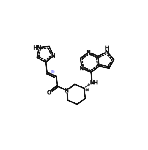 O=C(/C=C/c1c[nH]cn1)N1CCC[C@@H](Nc2ncnc3[nH]ccc23)C1